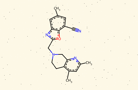 Cc1cc(C#N)c2oc(CN3CCc4c(C)cc(C)nc4C3)nc2c1